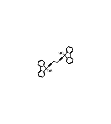 OC1(C#CCCC#CC2(O)c3ccccc3-c3ccccc32)c2ccccc2-c2ccccc21